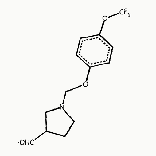 O=[C]C1CCN(COc2ccc(OC(F)(F)F)cc2)C1